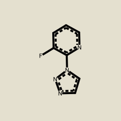 Fc1cccnc1-n1ccnn1